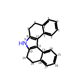 c1ccc2c(c1)CCc1[nH]c3c(c1-2)-c1ccccc1CC3